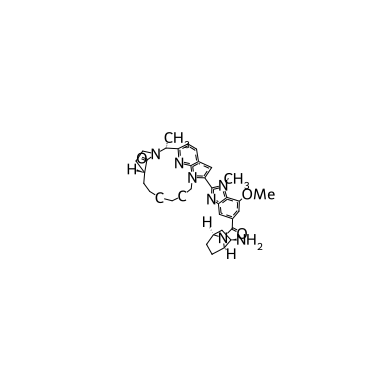 COc1cc(C(=O)N2[C@H]3CC[C@@H]2[C@H](N)C3)cc2nc(-c3cc4ccc5nc4n3CCCCCC[C@@H]3CCN(C3=O)[C@@H]5C)n(C)c12